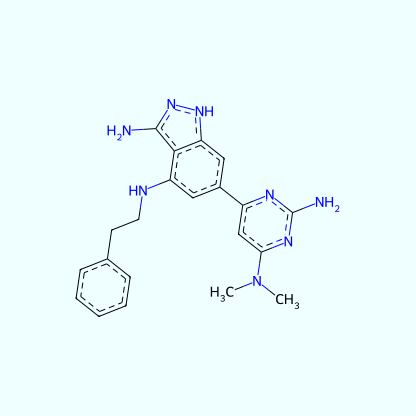 CN(C)c1cc(-c2cc(NCCc3ccccc3)c3c(N)n[nH]c3c2)nc(N)n1